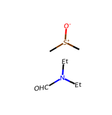 CCN(C=O)CC.C[S+](C)[O-]